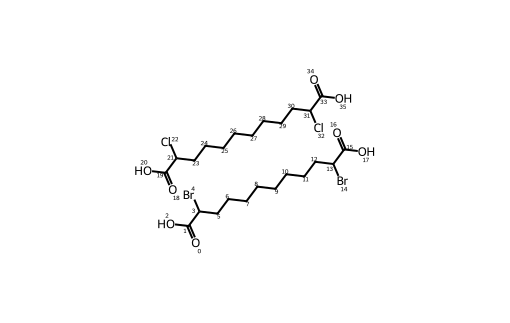 O=C(O)C(Br)CCCCCCCCC(Br)C(=O)O.O=C(O)C(Cl)CCCCCCCCC(Cl)C(=O)O